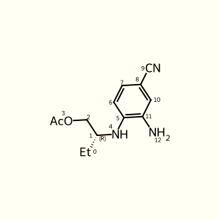 CC[C@H](COC(C)=O)Nc1ccc(C#N)cc1N